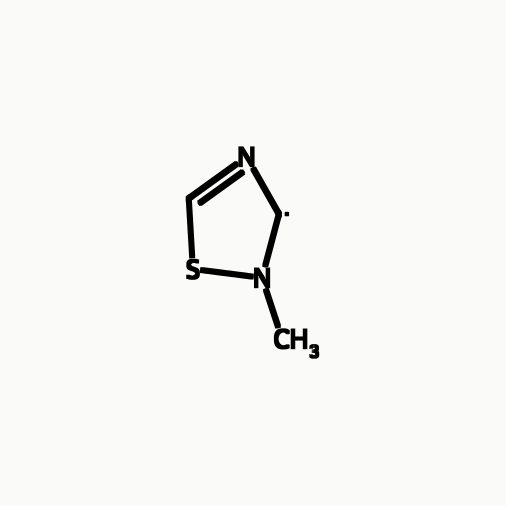 CN1[CH]N=CS1